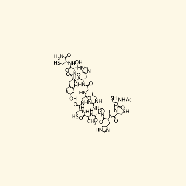 CC(=O)N[C@@H](CS)C(=O)N[C@@H](CS)C(=O)N[C@@H](Cc1c[nH]cn1)C(=O)N1CCC[C@H]1C(=O)N[C@@H](C)C(=O)N[C@@H](CS)C(=O)NCC(=O)N[C@@H](CCCNC(=N)N)C(=O)N[C@@H](Cc1c[nH]cn1)C(=O)N[C@@H](Cc1ccc(O)cc1)C(=O)N[C@@H](CO)C(=O)N[C@@H](CS)C(N)=O